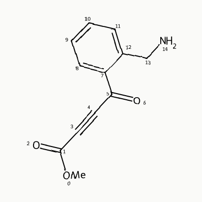 COC(=O)C#CC(=O)c1ccccc1CN